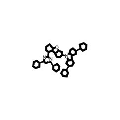 c1ccc(-c2ccc3c(c2)c2ccc(-c4ccccc4)cc2n3-c2ccc3c(c2)oc2cccc(-c4nc(-c5ccccc5)cc(-c5ccccc5)n4)c23)cc1